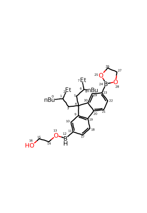 CCCCC(CC)CC1(CC(CC)CCCC)c2cc(BOCCO)ccc2-c2ccc(B3OCCO3)cc21